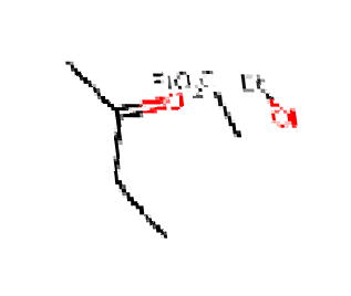 CCC(C)=O.CCO.CCOC(C)=O